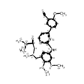 COc1ccc(-c2ccnc(Nc3cc(CN(C)CC(=O)N(C)C)c(OC)c(OC)c3)n2)cc1C#N